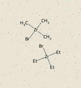 C[CH2][Zr]([Br])([CH2]C)[CH2]C.[CH3][Zr]([CH3])([CH3])[Br]